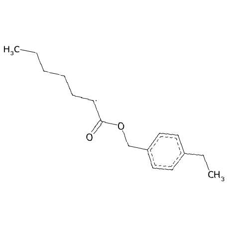 CCCCC[CH]C(=O)OCc1ccc(CC)cc1